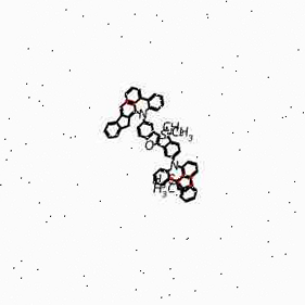 CC1(C)c2ccccc2-c2cccc(N(c3ccc4c(c3)-c3oc5ccc(N(c6ccccc6-c6ccccc6)c6cccc7c6Cc6ccccc6-7)cc5c3[Si]4(C)C)c3ccccc3-c3ccccc3)c21